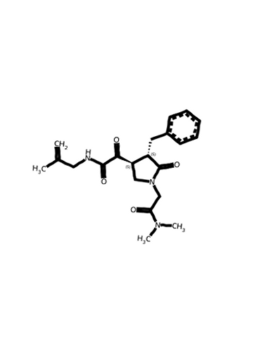 C=C(C)CNC(=O)C(=O)[C@@H]1CN(CC(=O)N(C)C)C(=O)[C@H]1Cc1ccccc1